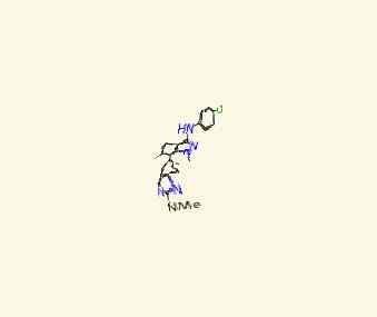 CNc1ncc2cc(-c3c(C)ccc4c(Nc5ccc(Cl)cc5)nn(C)c34)ccc2n1